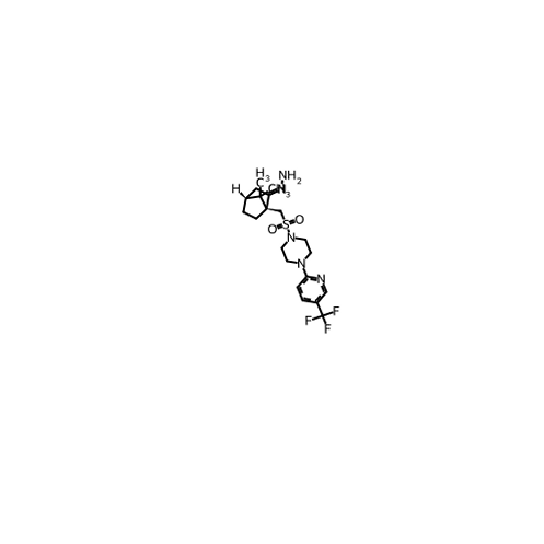 CC1(C)[C@@H]2CC[C@@]1(CS(=O)(=O)N1CCN(c3ccc(C(F)(F)F)cn3)CC1)/C(=N/N)C2